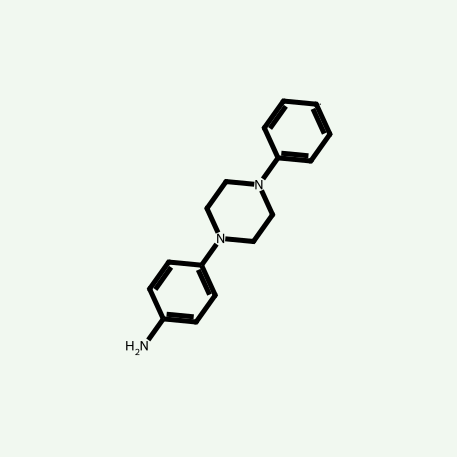 Nc1ccc(N2CCN(c3cc[c]cc3)CC2)cc1